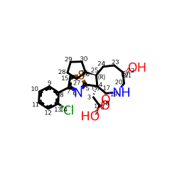 O=C(O)C[C@@]1(c2nc(-c3ccccc3Cl)cs2)C(=O)NC[C@@H](O)CC[C@@H]1C1CCCC1